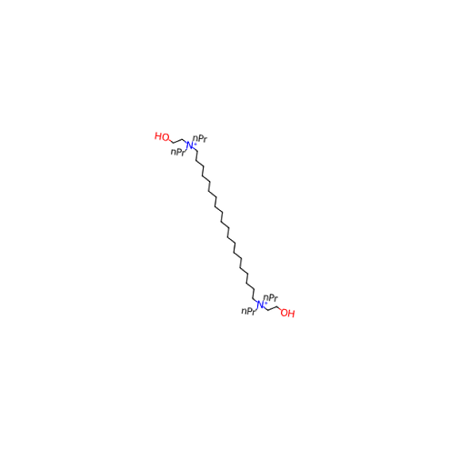 CCC[N+](CCC)(CCO)CCCCCCCCCCCCCCCCCCCC[N+](CCC)(CCC)CCO